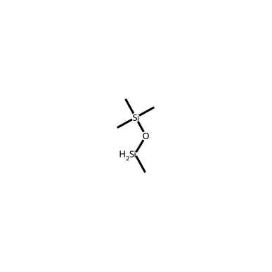 C[SiH2]O[Si](C)(C)C